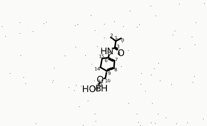 CC(C)C(=O)NC1=CC=C(COBO)CC1